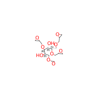 O[C@@H]([C@H](OCC1CO1)[C@H](O)COC1CO1)[C@H](COCC1CO1)OCC1CO1